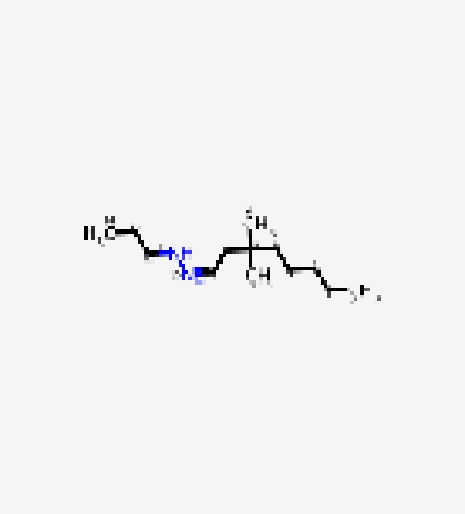 CCCCCC(C)(C)C/C=N\NCCC